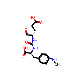 CNc1ccc(C[C@H](NC(=O)N[C@H](C=O)CCC(=O)O)C(=O)O)cc1